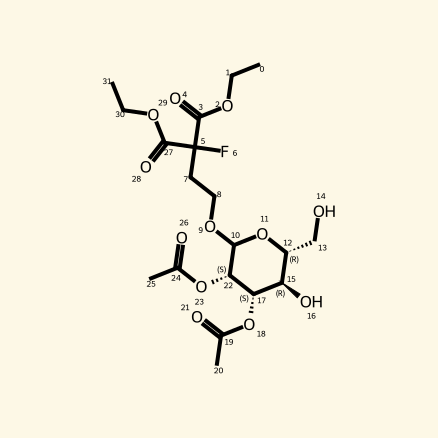 CCOC(=O)C(F)(CCOC1O[C@H](CO)[C@@H](O)[C@H](OC(C)=O)[C@@H]1OC(C)=O)C(=O)OCC